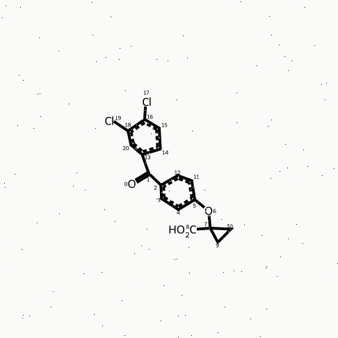 O=C(c1ccc(OC2(C(=O)O)CC2)cc1)c1ccc(Cl)c(Cl)c1